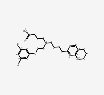 O=C(O)CCCN(CCCCc1ccc2c(n1)NCCC2)CCOc1cc(F)cc(F)c1